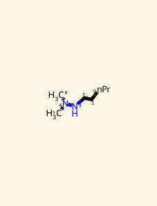 CCCCCNN(C)C